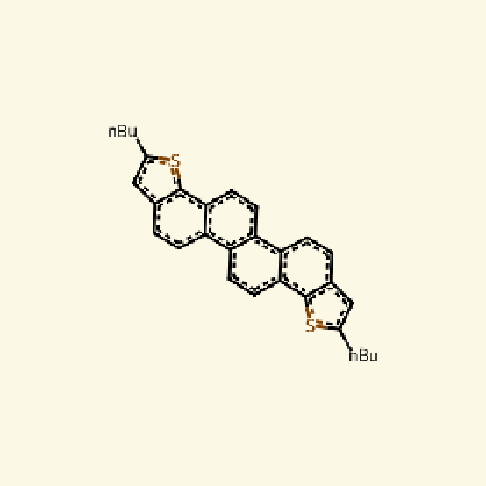 CCCCc1cc2ccc3c4ccc5c(ccc6cc(CCCC)sc65)c4ccc3c2s1